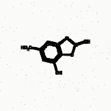 O=C(O)c1cc(O)c2c(c1)[O][Bi]([OH])[O]2